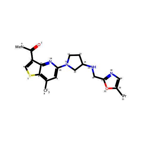 CNC(=O)c1csc2c(C(F)(F)F)cc(N3CCC(NCc4ncc(C(C)C)o4)C3)nc12